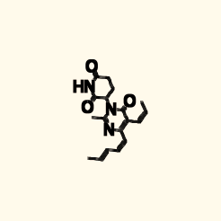 C/C=C\c1c(/C=C\C=C\C)nc(C)n(C2CCC(=O)NC2=O)c1=O